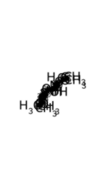 CC(C)(C)OC(=O)COc1ccc(C(O)CNC(=O)c2cc3c(s2)CCN(C(=O)OC(C)(C)C)C3)nc1